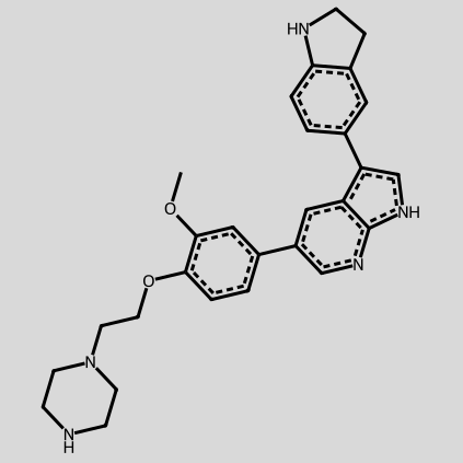 COc1cc(-c2cnc3[nH]cc(-c4ccc5c(c4)CCN5)c3c2)ccc1OCCN1CCNCC1